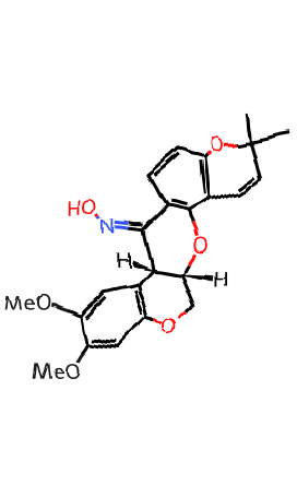 COc1cc2c(cc1OC)[C@@H]1C(=NO)c3ccc4c(c3O[C@@H]1CO2)C=CC(C)(C)O4